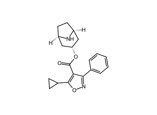 O=C(O[C@@H]1C[C@H]2CC[C@@H](C1)N2)c1c(-c2ccccc2)noc1C1CC1